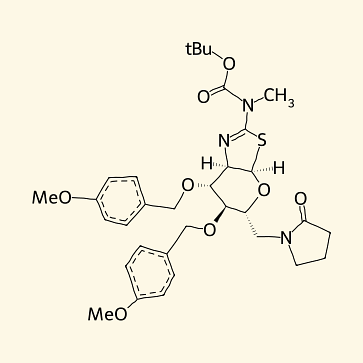 COc1ccc(CO[C@@H]2[C@H]3N=C(N(C)C(=O)OC(C)(C)C)S[C@H]3O[C@H](CN3CCCC3=O)[C@H]2OCc2ccc(OC)cc2)cc1